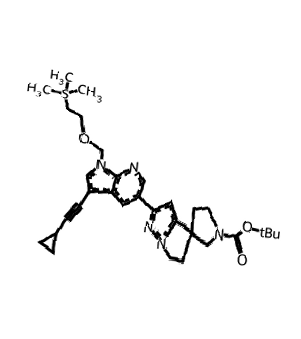 CC(C)(C)OC(=O)N1CCC2(CCn3nc(-c4cnc5c(c4)c(C#CC4CC4)cn5COCCS(C)(C)C)cc32)C1